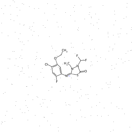 CCOc1cc(/N=c2/sc(=O)n(C(F)F)n2C)c(F)cc1Cl